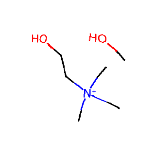 CO.C[N+](C)(C)CCO